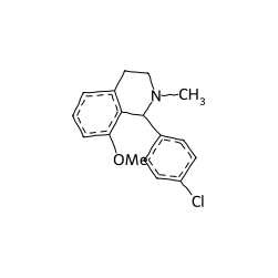 COc1cccc2c1C(c1ccc(Cl)cc1)N(C)CC2